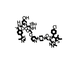 Cc1ncsc1-c1ccc([C@H](C)NC(=O)[C@@H]2C[C@@H](O)CN2C(=O)[C@@H](NC(=O)COc2ccnc(N3CCN(C(=O)C[C@@H]4N=C(c5ccc(Cl)cc5)c5c(sc(C)c5C)-n5c(C)nnc54)CC3)c2)C(C)(C)C)cc1